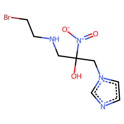 O=[N+]([O-])C(O)(CNCCBr)Cn1ccnc1